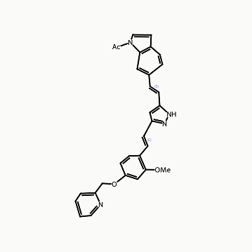 COc1cc(OCc2ccccn2)ccc1/C=C/c1cc(/C=C/c2ccc3ccn(C(C)=O)c3c2)[nH]n1